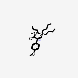 CCC[CH2][Sn](/[CH]=C(\C(=O)O)c1ccc(OC)cc1)([CH2]CCC)[CH2]CCC